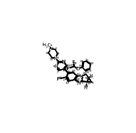 CN1CCN(c2ncc(-c3cc4c(cc3F)nc3n4[C@H](c4ccccc4OC(F)F)[C@@H]4C[C@H]34)cn2)CC1